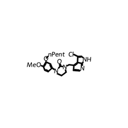 CCCCCOc1cc(N2CCCN(Cc3ccnc4[nH]cc(Cl)c34)C2=O)ccc1OC